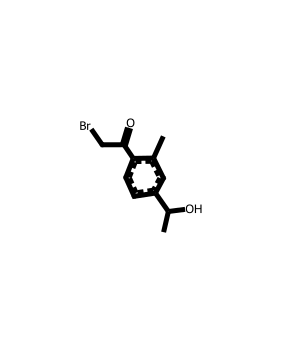 Cc1cc(C(C)O)ccc1C(=O)CBr